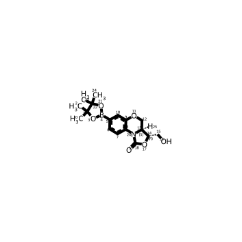 CC1(C)OB(c2ccc3c(c2)OC[C@H]2[C@H](CO)OC(=O)N32)OC1(C)C